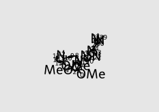 COc1cc(OC)cc(N(CC#Cc2ncccc2OC)c2ccc3ncc(-c4cnn(C)c4)nc3n2)c1